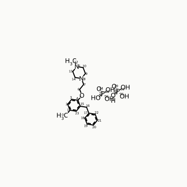 Cc1ccc(OCCN2CCN(C)CC2)c(Cc2ccccc2)c1.O=P(O)(O)O.O=P(O)(O)O